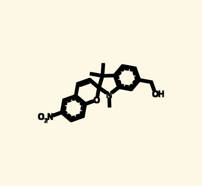 CN1c2cc(CO)ccc2C(C)(C)C12C=Cc1cc([N+](=O)[O-])ccc1O2